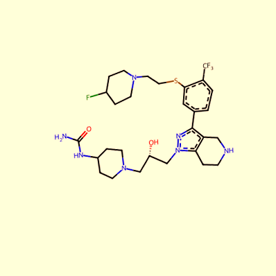 NC(=O)NC1CCN(C[C@H](O)Cn2nc(-c3ccc(C(F)(F)F)c(SCCN4CCC(F)CC4)c3)c3c2CCNC3)CC1